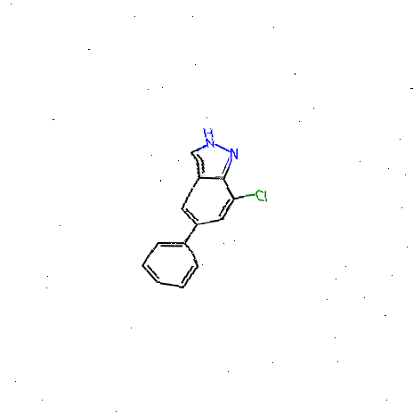 Clc1cc(-c2ccccc2)cc2c[nH]nc12